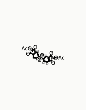 CC(=O)ON1C(=O)c2ccc(S(=O)(=O)c3ccc4c(c3)C(=O)N(OC(C)=O)C4=O)cc2C1=O